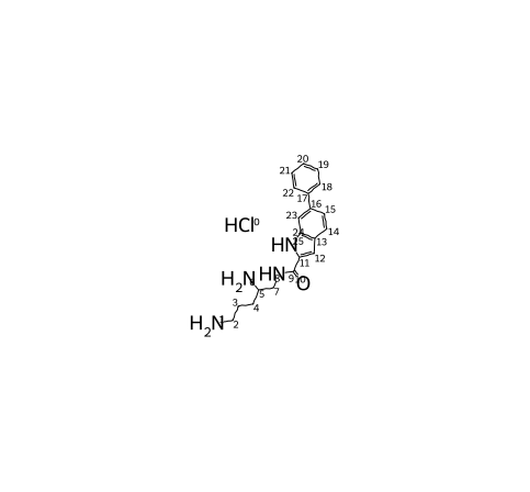 Cl.NCCCC(N)CNC(=O)c1cc2ccc(-c3ccccc3)cc2[nH]1